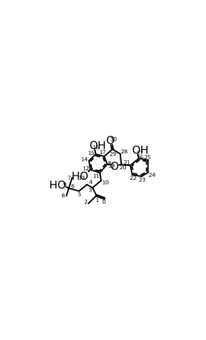 C=C(C)C(CCC(C)(C)O)Cc1c(O)cc(O)c2c1OC(c1ccccc1O)CC2=O